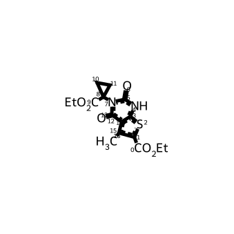 CCOC(=O)c1sc2[nH]c(=O)n(C3(C(=O)OCC)CC3)c(=O)c2c1C